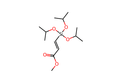 COC(=O)C=C[Si](OC(C)C)(OC(C)C)OC(C)C